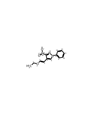 CCOC=Cc1cn(-c2ccccc2)nc1[N+](=O)[O-]